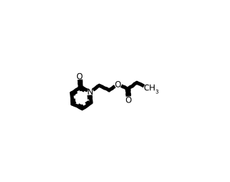 CCC(=O)OCCn1ccccc1=O